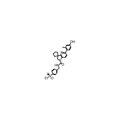 CCS(=O)(=O)c1ccc(CNC(=O)N2CC3(CCCC3)c3nc(-c4ccc(O)cc4C)ccc32)cc1